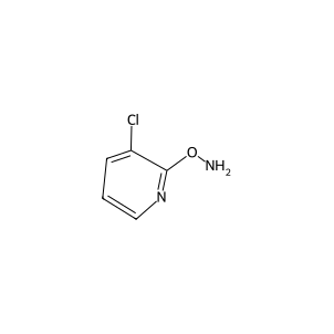 NOc1ncccc1Cl